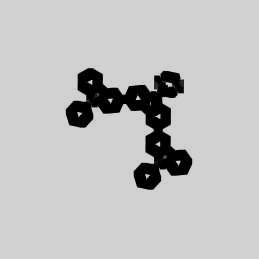 c1ccc(-n2c3ccccc3c3cc(-c4ccc5c(c4)c4cc(-c6ccc7c(c6)c6ccccc6n7-c6ccccc6)ccc4n5-c4cnccn4)ccc32)cc1